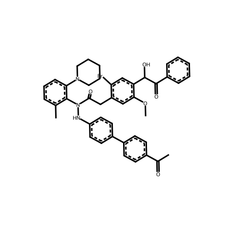 COc1cc(CC(=O)N(Nc2ccc(-c3ccc(C(C)=O)cc3)cc2)c2c(C)cccc2N2CCCCC2)c(Br)cc1C(O)C(=O)c1ccccc1